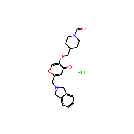 Cl.O=CN1CCC(COc2coc(CN3Cc4ccccc4C3)cc2=O)CC1